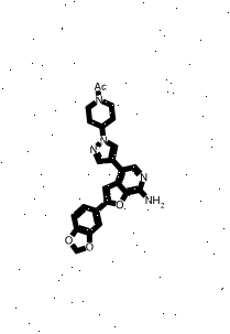 CC(=O)N1CCC(n2cc(-c3cnc(N)c4oc(-c5ccc6c(c5)OCO6)cc34)cn2)CC1